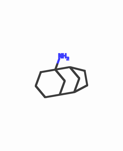 NC12CCCC(C1)C1CCC2C1